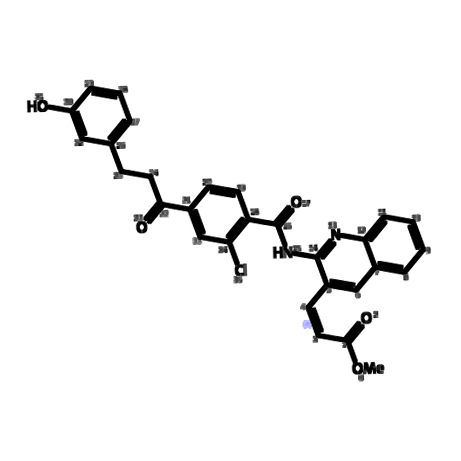 COC(=O)/C=C\c1cc2ccccc2nc1NC(=O)c1ccc(C(=O)CCc2cccc(O)c2)cc1Cl